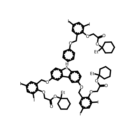 CCC1(OC(=O)COc2c(I)cc(I)cc2COc2ccc([SH]3c4ccc(OCc5cc(I)cc(I)c5OCC(=O)OC5(CC)CCCCC5)cc4-c4cc(OCc5cc(I)cc(I)c5OCC(=O)OC5(CC)CCCCC5)ccc43)cc2)CCCCC1